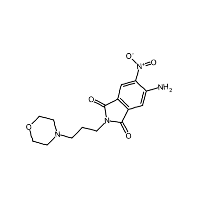 Nc1cc2c(cc1[N+](=O)[O-])C(=O)N(CCCN1CCOCC1)C2=O